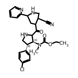 CCOC(=O)N(C)[C@@H]1C(C(=O)C2CC(c3ccccn3)NCC2C#N)NC[C@H]1c1ccc(Cl)cc1